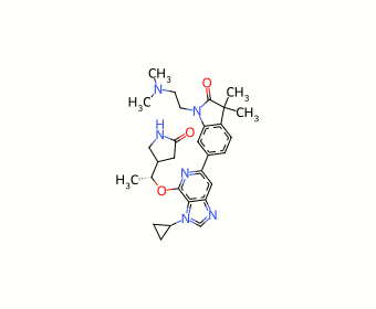 C[C@@H](Oc1nc(-c2ccc3c(c2)N(CCN(C)C)C(=O)C3(C)C)cc2ncn(C3CC3)c12)C1CNC(=O)C1